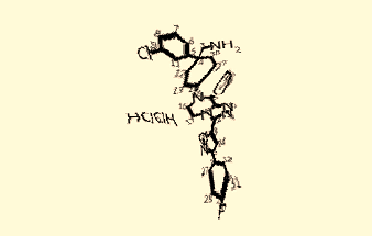 Cl.Cl.NC[C@]1(c2cccc(Cl)c2)CC[C@@H](N2CCn3c(nnc3-c3cc(-c4ccc(F)cc4)no3)C2=O)CC1